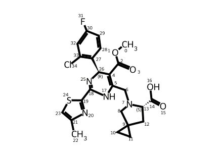 COC(=O)C1=C(CN2CC3(CC3)C[C@H]2C(=O)O)NC(c2nc(C)cs2)=N[C@H]1c1ccc(F)cc1Cl